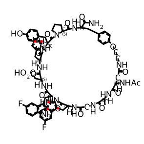 CC(=O)N[C@H]1CC(=O)NCCOc2ccc(cc2)C[C@@H](C(N)=O)NC(=O)[C@]2(C)CCCN2C(=O)[C@H](Cc2ccc(O)cc2)NC(=O)[C@H](Cc2cnc[nH]2)NC(=O)[C@H](CC(=O)O)NC(=O)[C@H](Cc2c[nH]c3ccc(F)cc23)NC(=O)[C@H](Cc2c[nH]c3ccc(F)cc23)NC(=O)CNC(=O)[C@H](C)NC1=O